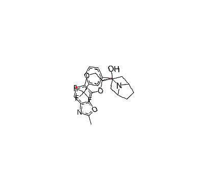 Cc1nc2ccc3c(c2o1)OC(CN1C2CCC1CC(O)(c1cccc(C(F)(F)F)c1)C2)CO3